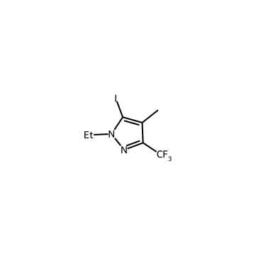 CCn1nc(C(F)(F)F)c(C)c1I